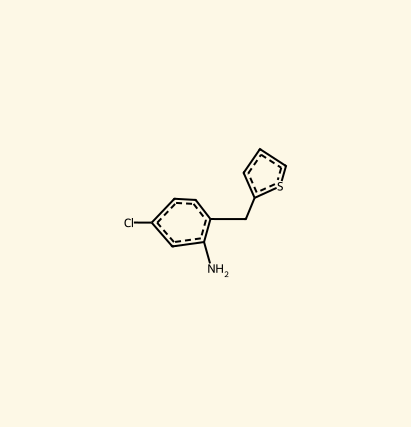 Nc1cc(Cl)ccc1Cc1cccs1